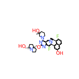 C#Cc1c(F)ccc2cc(O)cc(-c3ncc4c(N5CCC[C@@](C)(O)C5)nc(OC[C@]56CCCN5[C@H](CO)CC6)nc4c3F)c12